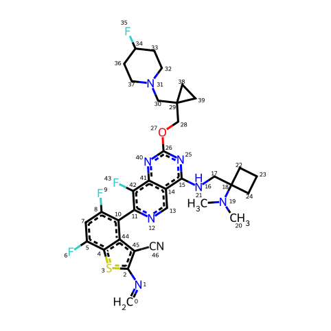 C=Nc1sc2c(F)cc(F)c(-c3ncc4c(NCC5(N(C)C)CCC5)nc(OCC5(CN6CCC(F)CC6)CC5)nc4c3F)c2c1C#N